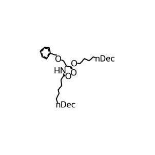 CCCCCCCCCCCCCCCC(=O)NC(COCc1ccccc1)C(=O)OCCCCCCCCCCCCCC